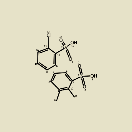 Cc1cccc(S(=O)(=O)O)c1C.O=S(=O)(O)c1ccccc1Cl